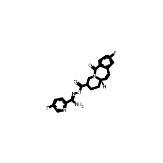 N/C(=N\OC(=O)C1CC[C@H]2C=Cc3cc(F)ccc3C(=O)N2C1)c1ccc(F)cn1